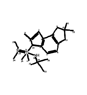 CC1=Cc2c(ccc3c2CC(C)(C)C3)[CH]1[Ti]([CH3])([CH3])([NH]C(C)(C)C)=[Si](C)C